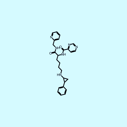 O=C(NC(CCCCNC1CC1c1ccccc1)C(=O)NCc1ccccn1)c1ccncn1